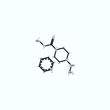 CC(C)(C)OC(=O)N1CCN(NN)CC1.c1ccncc1